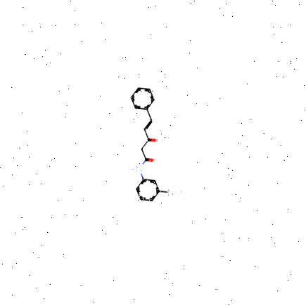 O=C(C=Cc1ccccc1)CC(=O)Nc1cccc([N+](=O)[O-])c1